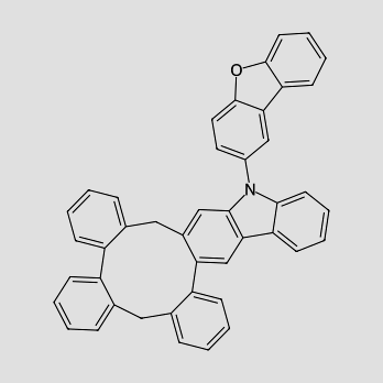 c1ccc2c(c1)Cc1ccccc1-c1cc3c4ccccc4n(-c4ccc5oc6ccccc6c5c4)c3cc1Cc1ccccc1-2